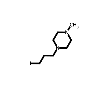 CN1CCN(CCCI)CC1